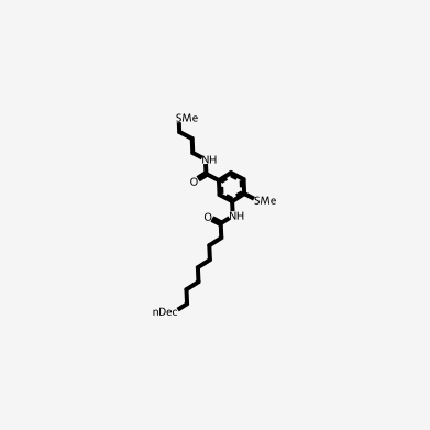 CCCCCCCCCCCCCCCCCC(=O)Nc1cc(C(=O)NCCCSC)ccc1SC